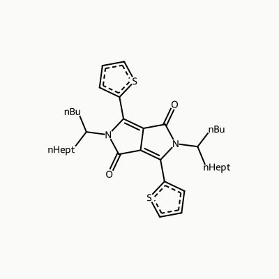 CCCCCCCC(CCCC)N1C(=O)C2=C(c3cccs3)N(C(CCCC)CCCCCCC)C(=O)C2=C1c1cccs1